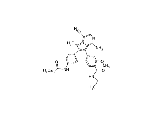 C=CC(=O)Nc1ccc(-c2c(-c3ccc(C(=O)NCC)c(OC)c3)c3c(N)ncc(C#N)c3n2C)cc1